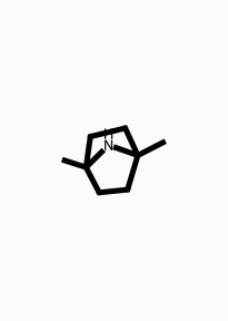 CC12CCC(C)(CC1)N2